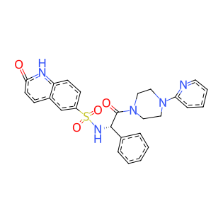 O=C([C@@H](NS(=O)(=O)c1ccc2[nH]c(=O)ccc2c1)c1ccccc1)N1CCN(c2ccccn2)CC1